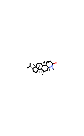 CC(C)[C@H]1CC[C@H]2[C@@H]3[C@@H](C)C[C@H]4N(C)C(=O)C=C[C@]4(C)[C@H]3CC[C@]12C